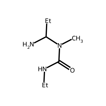 CCNC(=O)N(C)C(N)CC